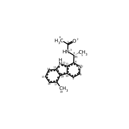 CC(=O)N[C@H](C)c1nccc2c1[nH]c1cccc(C)c12